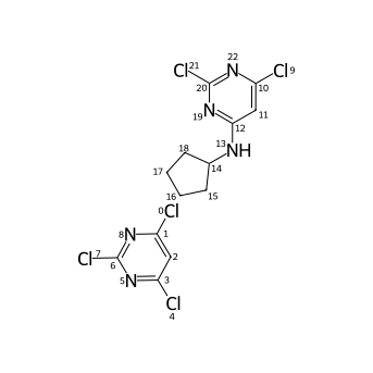 Clc1cc(Cl)nc(Cl)n1.Clc1cc(NC2CCCC2)nc(Cl)n1